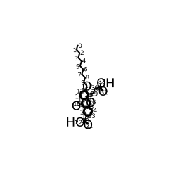 CCCCCCCCCCOc1ccc2c(=O)c3cc(C(=O)O)ccc3oc2c1CCC(=O)O